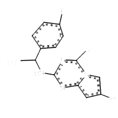 CC(Nc1nc(Cl)n2cc(Br)cc2n1)c1ccc(F)cc1